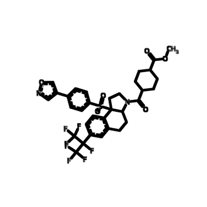 COC(=O)C1CCC(C(=O)N2CCC3(S(=O)(=O)c4ccc(-c5cnoc5)cc4)c4ccc(C(F)(C(F)(F)F)C(F)(F)F)cc4CCC23)CC1